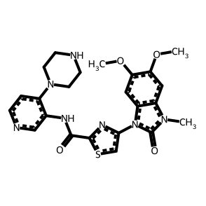 COc1cc2c(cc1OC)n(-c1csc(C(=O)Nc3cnccc3N3CCNCC3)n1)c(=O)n2C